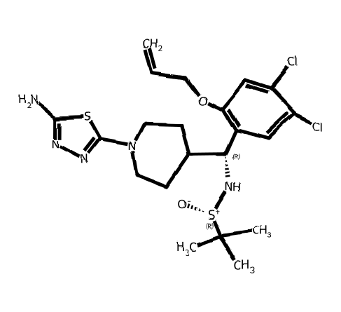 C=CCOc1cc(Cl)c(Cl)cc1[C@H](N[S@@+]([O-])C(C)(C)C)C1CCN(c2nnc(N)s2)CC1